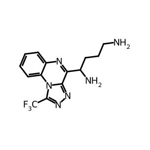 NCCCC(N)c1nc2ccccc2n2c(C(F)(F)F)nnc12